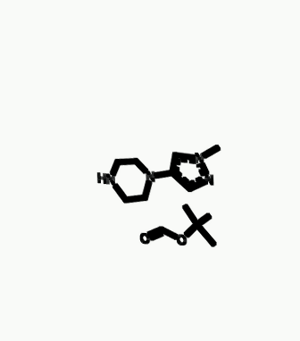 CC(C)(C)OC=O.Cn1cc(N2CCNCC2)cn1